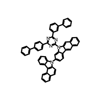 c1ccc(-c2ccc(-c3nc(-c4cccc(-c5ccccc5)c4)nc(-n4c5cc(-n6c7ccccc7c7c8ccccc8ccc76)ccc5c5cc6ccccc6cc54)n3)cc2)cc1